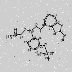 C=CC1Cc2cccc(CCN(CCNS)c3cccc(CC(F)(F)F)c3)c2C1